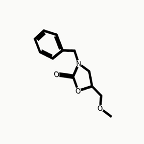 COCC1CN(Cc2ccccc2)C(=O)O1